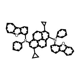 c1ccc(N(c2cc(C3CC3)c3ccc4c(N(c5ccccc5)c5cccc6c5oc5ccccc56)cc(C5CC5)c5ccc2c3c54)c2cccc3c2oc2ccccc23)cc1